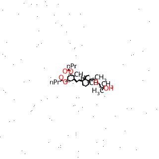 C=C1C(=CC=C2CCC[C@]3(C)[C@@H]([C@H](C)OCCC(C)(C)O)CC[C@@H]23)C[C@@H](OC(=O)CCC)C[C@@H]1OC(=O)CCC